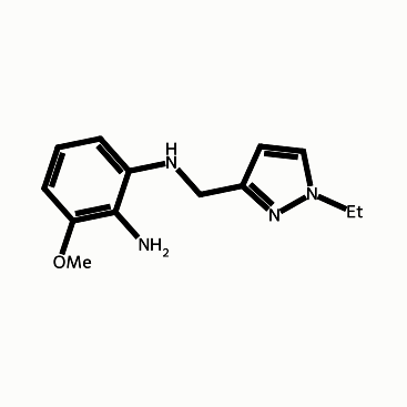 CCn1ccc(CNc2cccc(OC)c2N)n1